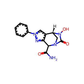 NC(=O)C1c2nn(-c3ccccc3)cc2[C@H]2CN1C(=O)N2O